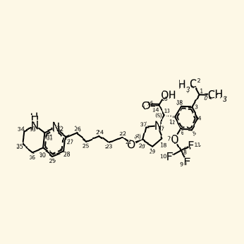 CC(C)c1ccc(OC(F)(F)F)c([C@@H](C(=O)O)N2CC[C@@H](OCCCCCc3ccc4c(n3)NCCC4)C2)c1